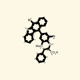 COc1cc(-c2c3ccccc3c(Br)c3sc4ccccc4c23)cc(Br)c1O[C@H](Cc1ccccc1)C(=O)O